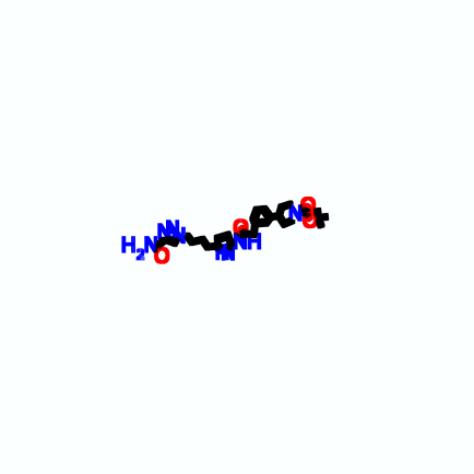 CC(C)(C)OC(=O)N1CCC(c2cccc(CC(=O)Nc3ccc(CCCCn4cc(C(N)=O)nn4)nn3)c2)CC1